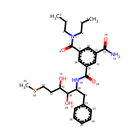 CCCN(CCC)C(=O)c1cc(C(N)=O)cc(C(=O)NC(Cc2ccccc2)C(O)C(O)CCSC)c1